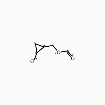 O=[C]OCC1CC1Cl